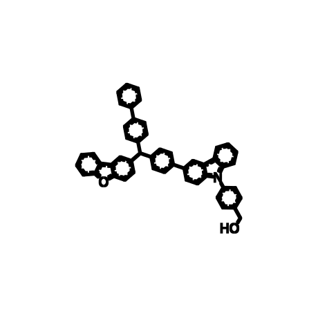 OCc1ccc(-n2c3ccccc3c3cc(-c4ccc(C(c5ccc(-c6ccccc6)cc5)c5ccc6oc7ccccc7c6c5)cc4)ccc32)cc1